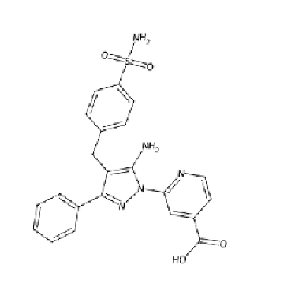 Nc1c(Cc2ccc(S(N)(=O)=O)cc2)c(-c2ccccc2)nn1-c1cc(C(=O)O)ccn1